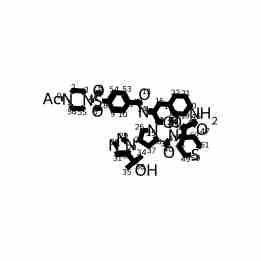 CC(=O)N1CCN(S(=O)(=O)c2ccc(C(=O)/N=C(\CC3CCCCC3)C(=O)N3C[C@@H](n4nncc4C(C)(C)O)C[C@H]3C(=O)NC3(C(=O)C(N)=O)CCSCC3)cc2)CC1